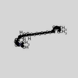 C=C(CC)c1cc(O)ccc1/N=C1\CCn2c1cc1c(c2=O)COC(=O)[C@H]1OC(=O)OCc1ccc(NC(=O)CNC(=O)COCC(=O)NCCOCCOCCOCCOCCOCCOCCOCCOCCn2cc(CNC(=O)C3CCC(CN(C)C(=O)CC(C)C=O)CC3)nn2)cc1